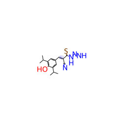 CC(C)c1cc(/C=C(\C#N)C(=S)NN=N)cc(C(C)C)c1O